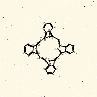 c1ccc2c(c1)-c1cc3[nH]c(nc4nc(nc5[nH]c(cc-2n1)c1ccccc51)-c1ccccc1-4)c1ccccc31